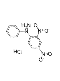 Cl.NN(c1ccccc1)c1ccc([N+](=O)[O-])cc1[N+](=O)[O-]